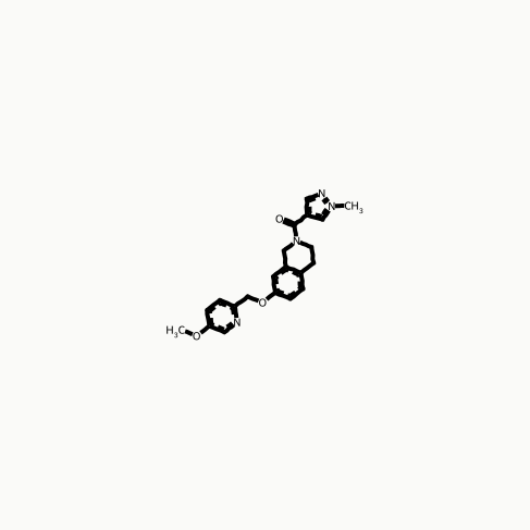 COc1ccc(COc2ccc3c(c2)CN(C(=O)c2cnn(C)c2)CC3)nc1